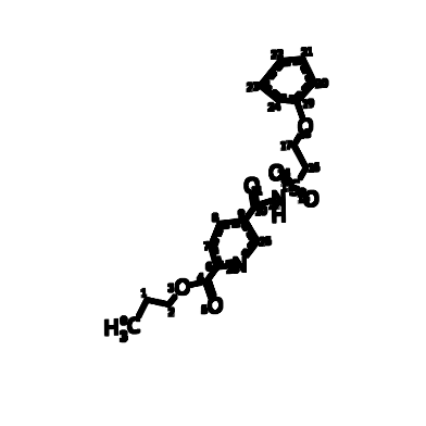 CCCOC(=O)c1ccc(C(=O)NS(=O)(=O)CCOc2ccccc2)cn1